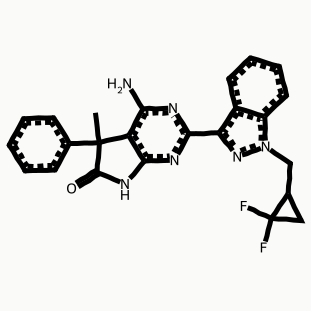 CC1(c2ccccc2)C(=O)Nc2nc(-c3nn(CC4CC4(F)F)c4ccccc34)nc(N)c21